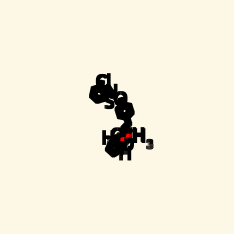 CS(=O)(=O)N1[C@@H]2CC[C@H]1C[C@H](NCCc1ccc(Oc3nc4c(Cl)cccc4s3)cc1)C2